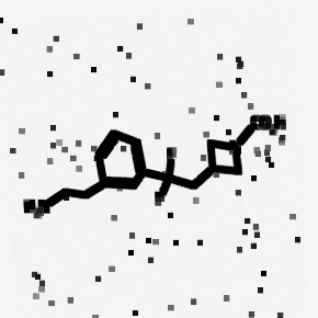 NCCc1cccc(C(F)(F)CC2CN(C(=O)O)C2)c1